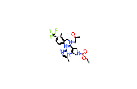 CCOC(=O)N1Cc2c(N(CC(C)=O)Cc3cccc(C(F)(F)F)c3C)nc3ncc(C)n3c2C1